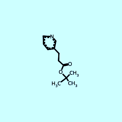 CC(C)(C)OC(=O)CCc1cccnc1